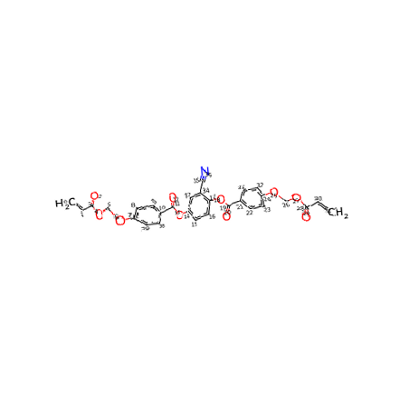 C=CC(=O)OCOc1ccc(C(=O)Oc2ccc(OC(=O)c3ccc(OCOC(=O)C=C)cc3)c(C#N)c2)cc1